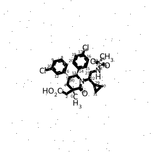 C[C@]1(CC(=O)O)C[C@H](c2cccc(Cl)c2)[C@@H](c2ccc(Cl)cc2)N(C(CNS(C)(=O)=O)C2CC2)C1=O